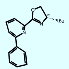 CC(C)(C)[C@H]1COC(c2cccc(-c3ccccc3)n2)=N1